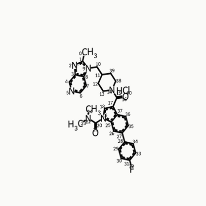 Cc1nc2cnccc2n1CC1CCN(C(=O)c2cn(C(=O)N(C)C)c3cc(-c4ccc(F)cc4)ccc23)CC1.Cl